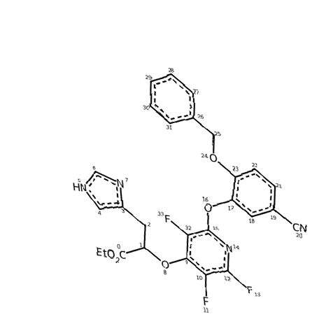 CCOC(=O)C(Cc1c[nH]cn1)Oc1c(F)c(F)nc(Oc2cc(C#N)ccc2OCc2ccccc2)c1F